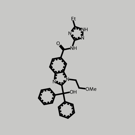 CCc1nc(NC(=O)c2ccc3nc(C(O)(c4ccccc4)c4ccccc4)n(CCOC)c3c2)n[nH]1